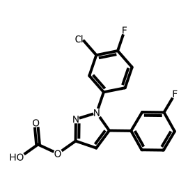 O=C(O)Oc1cc(-c2cccc(F)c2)n(-c2ccc(F)c(Cl)c2)n1